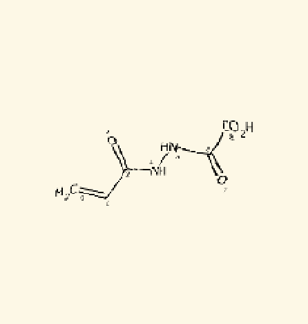 C=CC(=O)NNC(=O)C(=O)O